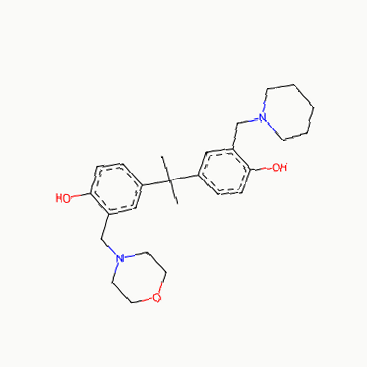 CC(C)(c1ccc(O)c(CN2CCCCC2)c1)c1ccc(O)c(CN2CCOCC2)c1